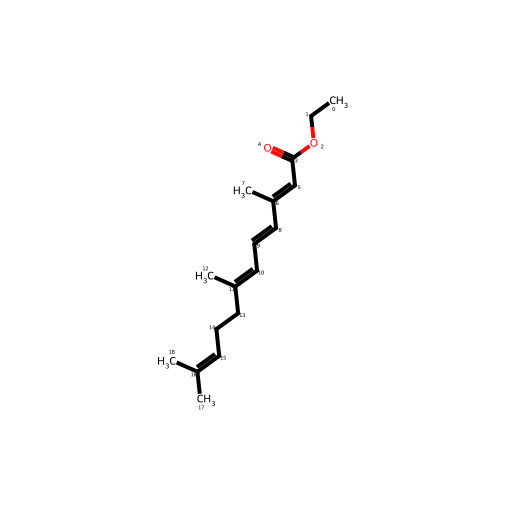 CCOC(=O)/C=C(C)/C=C/C=C(\C)CCC=C(C)C